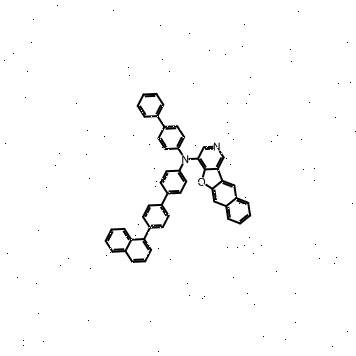 c1ccc(-c2ccc(N(c3ccc(-c4ccc(-c5cccc6ccccc56)cc4)cc3)c3cncc4c3oc3cc5ccccc5cc34)cc2)cc1